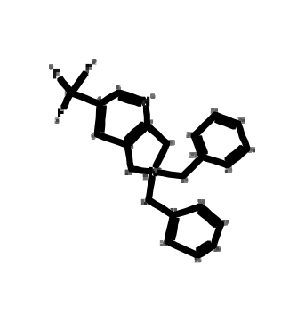 FC(F)(F)c1cnc2c(c1)C[N+](Cc1ccccc1)(Cc1ccccc1)C2